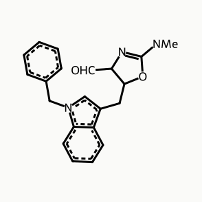 CNC1=NC(C=O)C(Cc2cn(Cc3ccccc3)c3ccccc23)O1